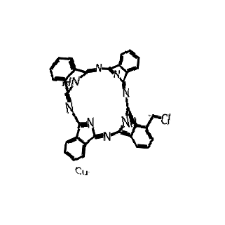 Cl[CH]c1cccc2c3nc4nc(nc5[nH]c(nc6nc(nc([nH]3)c12)-c1ccccc1-6)c1ccccc51)-c1ccccc1-4.[Cu]